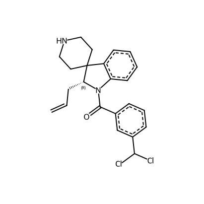 C=CC[C@H]1N(C(=O)c2cccc(C(Cl)Cl)c2)c2ccccc2C12CCNCC2